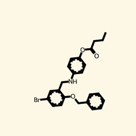 CCCC(=O)Oc1ccc(NCc2cc(Br)ccc2OCc2ccccc2)cc1